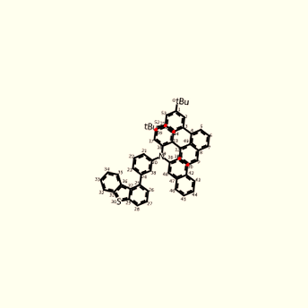 CC(C)(C)c1cc(-c2cccc3cccc(-c4ccccc4N(c4cccc(-c5cccc6sc7ccccc7c56)c4)c4ccc5ccccc5c4)c23)cc(C(C)(C)C)c1